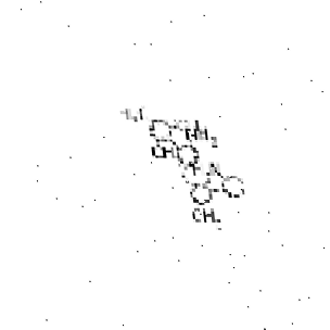 Cc1cc(Cc2ccc(N)c(-c3c(C)cc(C)cc3C)c2)cc(C2=CCCC=C2N)c1